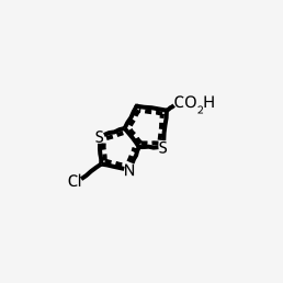 O=C(O)c1cc2sc(Cl)nc2s1